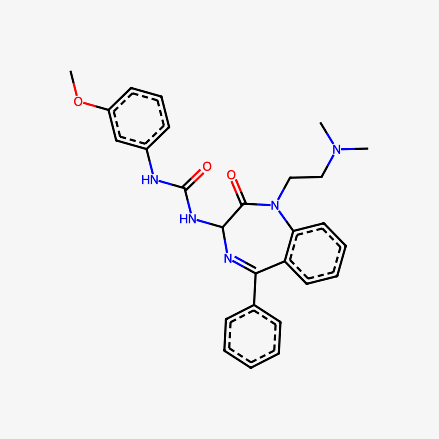 COc1cccc(NC(=O)NC2N=C(c3ccccc3)c3ccccc3N(CCN(C)C)C2=O)c1